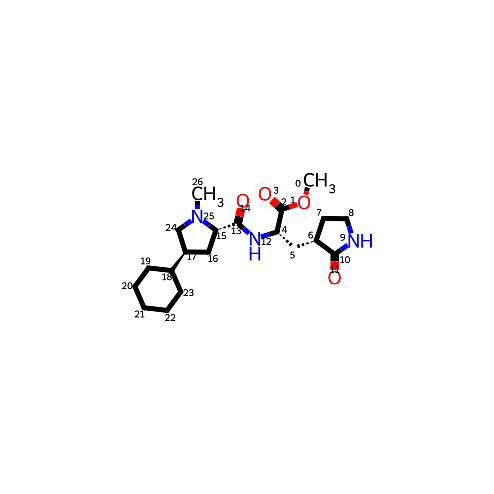 COC(=O)[C@H](C[C@@H]1CCNC1=O)NC(=O)[C@@H]1C[C@@H](C2CCCCC2)CN1C